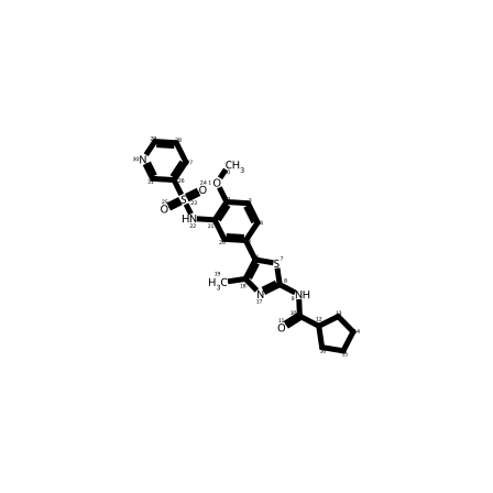 COc1ccc(-c2sc(NC(=O)C3CCCC3)nc2C)cc1NS(=O)(=O)c1cccnc1